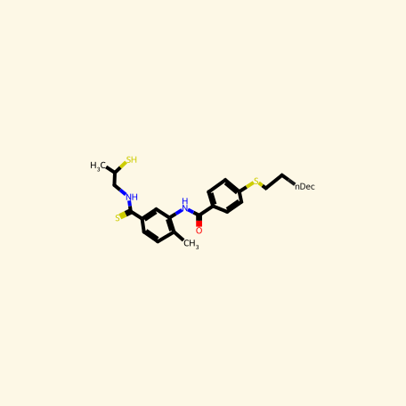 CCCCCCCCCCCCSc1ccc(C(=O)Nc2cc(C(=S)NCC(C)S)ccc2C)cc1